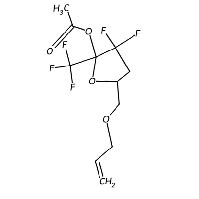 C=CCOCC1CC(F)(F)C(OC(C)=O)(C(F)(F)F)O1